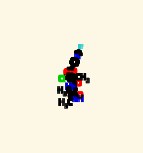 Cc1cc(C)c(CNC(=O)c2cc(Cl)c3c(c2C)OC(C2CCC(N4CC(F)C4)CC2)CO3)c(=O)[nH]1